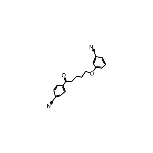 N#Cc1ccc(C(=O)CCCCOc2cccc(C#N)c2)cc1